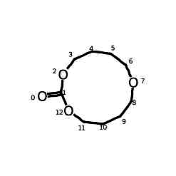 O=C1OCCCCOCCCCO1